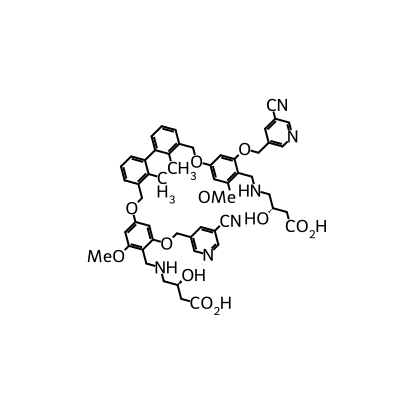 COc1cc(OCc2cccc(-c3cccc(COc4cc(OC)c(CNC[C@@H](O)CC(=O)O)c(OCc5cncc(C#N)c5)c4)c3C)c2C)cc(OCc2cncc(C#N)c2)c1CNC[C@@H](O)CC(=O)O